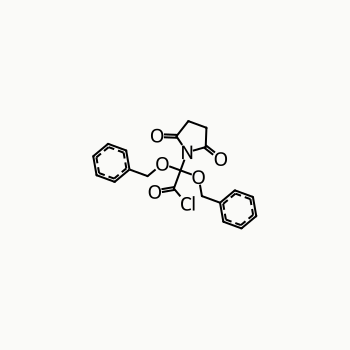 O=C1CCC(=O)N1C(OCc1ccccc1)(OCc1ccccc1)C(=O)Cl